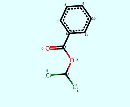 O=C(O[C](Cl)Cl)c1ccccc1